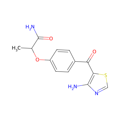 CC(Oc1ccc(C(=O)c2scnc2N)cc1)C(N)=O